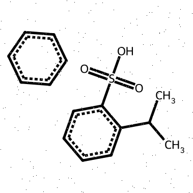 CC(C)c1ccccc1S(=O)(=O)O.c1ccccc1